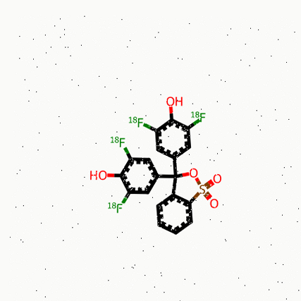 O=S1(=O)OC(c2cc([18F])c(O)c([18F])c2)(c2cc([18F])c(O)c([18F])c2)c2ccccc21